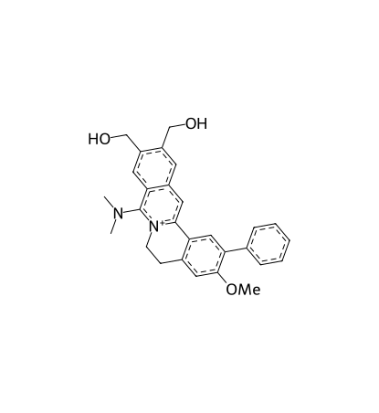 COc1cc2c(cc1-c1ccccc1)-c1cc3cc(CO)c(CO)cc3c(N(C)C)[n+]1CC2